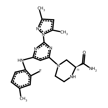 Cc1ccc(Nc2cc(N3CCN[C@H](C(N)=O)C3)nc(-n3nc(C)cc3C)n2)c(F)c1